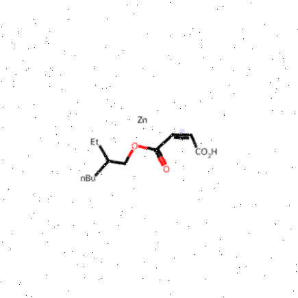 CCCCC(CC)COC(=O)/C=C\C(=O)O.[Zn]